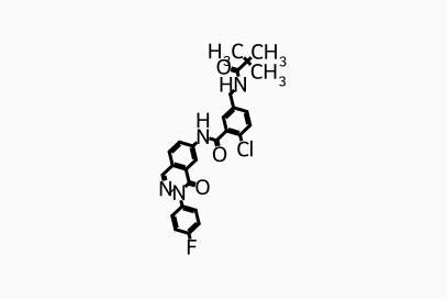 CC(C)(C)C(=O)NCc1ccc(Cl)c(C(=O)Nc2ccc3cnn(-c4ccc(F)cc4)c(=O)c3c2)c1